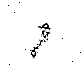 CCc1cccc(C)c1-n1cnc(NCCOCCc2ccccc2)nc1=S